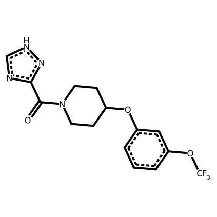 O=C(c1nc[nH]n1)N1CCC(Oc2cccc(OC(F)(F)F)c2)CC1